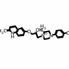 C=C1C=Cc2cc(OC[C@@H](O)CN3CCN(c4ccc(Cl)cc4)C[C@@H]3C)ccc2N1